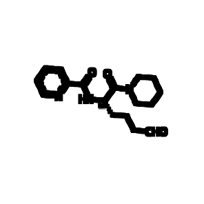 O=CCCC[C@H](NC(=O)c1ccccn1)C(=O)N1CCCCC1